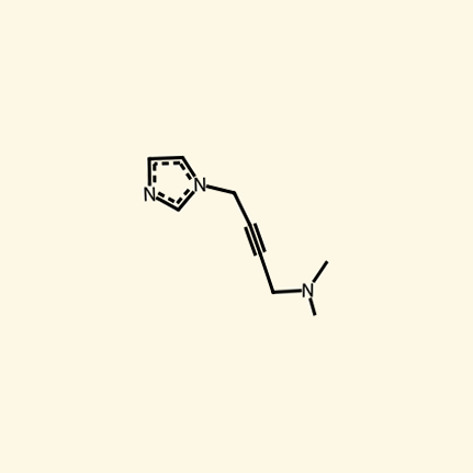 CN(C)CC#CCn1ccnc1